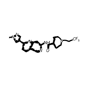 Cn1cc(-c2ccc3cnc(NC(=O)C4CCN(CCC(F)(F)F)CC4)cc3n2)cn1